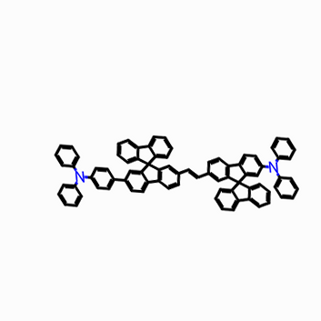 C(=C\c1ccc2c(c1)C1(c3ccccc3-c3ccccc31)c1cc(N(c3ccccc3)c3ccccc3)ccc1-2)/c1ccc2c(c1)C1(c3ccccc3-c3ccccc31)c1cc(-c3ccc(N(c4ccccc4)c4ccccc4)cc3)ccc1-2